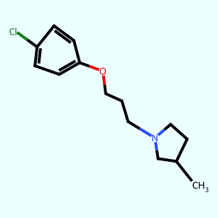 CC1CCN(CCCOc2ccc(Cl)cc2)C1